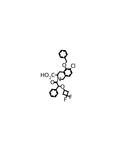 O=C(O)[C@@H]1Cc2c(ccc(Cl)c2OCc2ccccc2)CN1C(=O)C(OC1CC(F)(F)C1)c1ccccc1